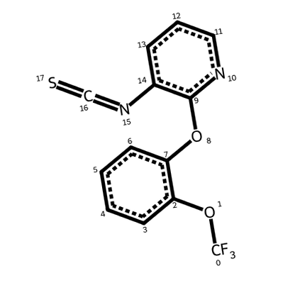 FC(F)(F)Oc1ccccc1Oc1ncccc1N=C=S